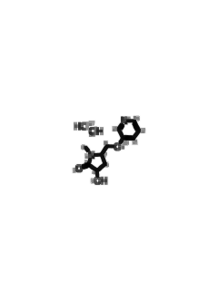 CN1C(=O)C(O)CC1COc1cccnc1.Cl.Cl